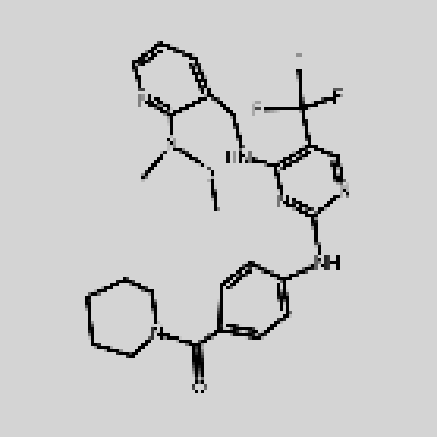 CSN(C)c1ncccc1CNc1nc(Nc2ccc(C(=O)N3CCCCC3)cc2)ncc1C(F)(F)F